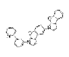 c1ccc(-c2cccc(-n3ccc4c5cc(-n6ccc7c8ccccc8oc76)ccc5oc43)c2)nc1